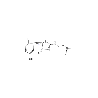 CN(C)CCNC1=NC(=O)/C(=C\c2cc(O)ccc2F)S1